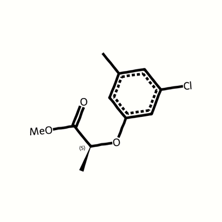 COC(=O)[C@H](C)Oc1cc(C)cc(Cl)c1